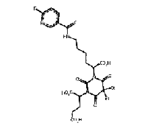 CCC1(CC)C(=O)N(C(CCC(=O)O)C(=O)O)C(=O)N([C@@H](CCCCNC(=O)c2ccc(F)nc2)C(=O)O)C1=O